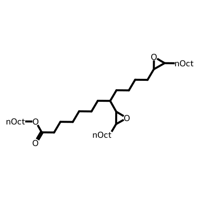 CCCCCCCCOC(=O)CCCCCCC(CCCCC1OC1CCCCCCCC)C1OC1CCCCCCCC